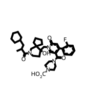 CC(CC1CCCCC1)C(=O)N1CCC(O)(Cn2cc(C(=O)N3CCN(C(=O)O)CC3)c(-c3ccccc3F)cc2=O)C2(CCCC2)C1